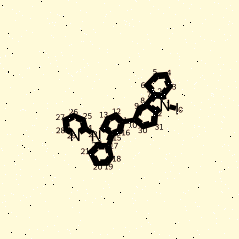 In1c2ccccc2c2cc(-c3ccc4c(c3)c3ccccc3n4-c3ccccn3)ccc21